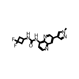 Cn1cc(-c2cnc3c(NC(=O)NC4CC(F)(F)C4)ccnc3c2)cn1